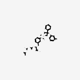 CC(=O)O[C@@H](C)OC(=O)N[C@@H](Cc1cccc(S(=O)(=O)N2CC(Oc3cccc(F)c3)(c3ccccc3)C2)c1)C(=O)O